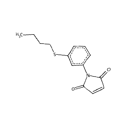 CCCCSc1cccc(N2C(=O)C=CC2=O)c1